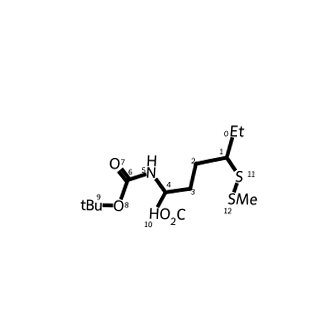 CCC(CCC(NC(=O)OC(C)(C)C)C(=O)O)SSC